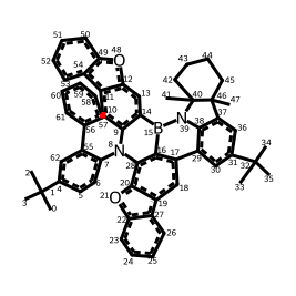 CC(C)(C)c1ccc(N2c3cc4c(cc3B3c5c(cc6c(oc7ccccc76)c52)-c2cc(C(C)(C)C)cc5c2N3C2(C)CCCCC52C)oc2ccccc24)c(-c2ccccc2)c1